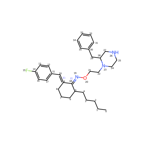 CCCCCC1CCCC(=C\c2ccc(F)cc2)/C1=N/OCCN1CCNCC1Cc1ccccc1